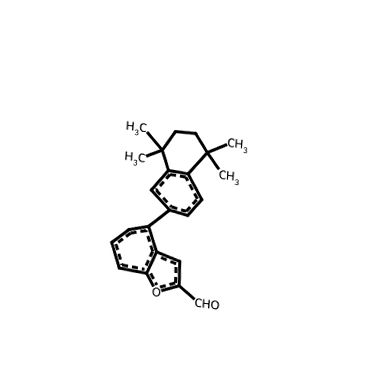 CC1(C)CCC(C)(C)c2cc(-c3cccc4oc(C=O)cc34)ccc21